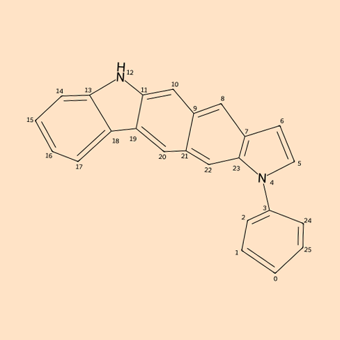 c1ccc(-n2ccc3cc4cc5[nH]c6ccccc6c5cc4cc32)cc1